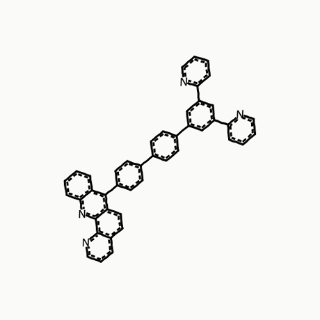 c1ccc(-c2cc(-c3ccc(-c4ccc(-c5c6ccccc6nc6c5ccc5cccnc56)cc4)cc3)cc(-c3ccccn3)c2)nc1